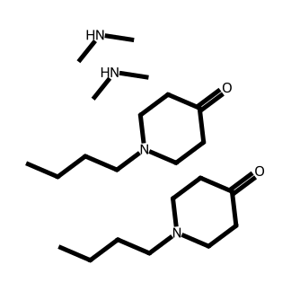 CCCCN1CCC(=O)CC1.CCCCN1CCC(=O)CC1.CNC.CNC